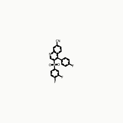 N#Cc1ccc2c(-c3ccc(F)cc3)c(S(=O)(=O)c3ccc(F)c(F)c3)cnc2c1